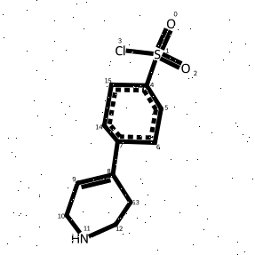 O=S(=O)(Cl)c1ccc(C2=CCNCC2)cc1